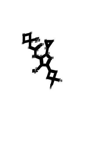 Cc1c(C2CC(F)(F)C2)nn(C2CC2)c1NC(=O)CC1(C(F)(F)F)CCC1